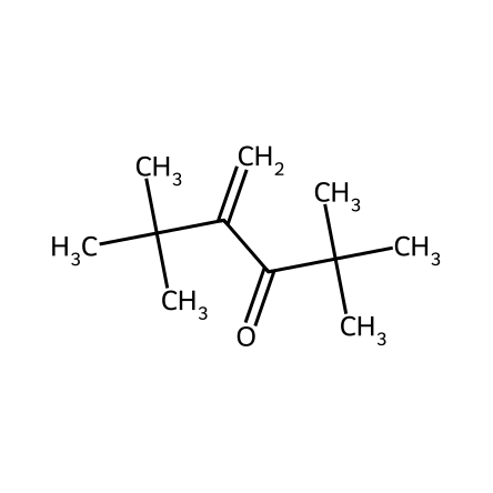 C=C(C(=O)C(C)(C)C)C(C)(C)C